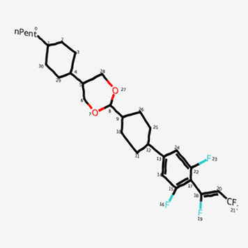 CCCCCC1CCC(C2COC(C3CCC(c4cc(F)c(/C(F)=C/C(F)(F)F)c(F)c4)CC3)OC2)CC1